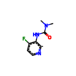 CN(C)C(=O)Nc1[c]nccc1F